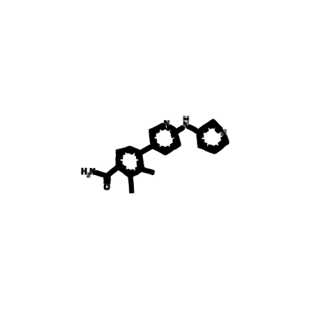 Cc1c(C(N)=O)ccc(-c2ccc(Nc3cccnc3)nc2)c1C